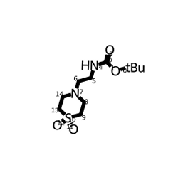 CC(C)(C)OC(=O)NCCN1CCS(=O)(=O)CC1